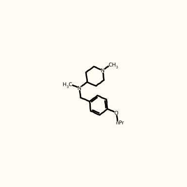 CCCOc1ccc(CN(C)C2CCN(C)CC2)cc1